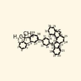 CC1(C)c2ccccc2-c2cc(-c3ccc(-n4c5ccccc5c5ccc6sc7ccccc7c6c54)cc3)ccc21